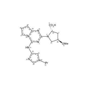 CO[C@@H]1C[C@@H](C(=O)O)N(c2nc(Nc3cn(C(C)C)cn3)n3cccc3n2)C1